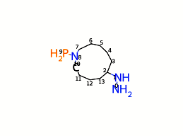 NNC1CCCCCN(P)CCCC1